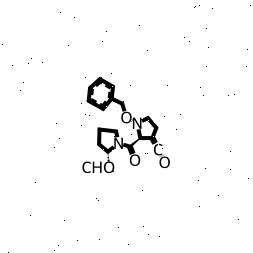 O=C=C1CCN(OCc2ccccc2)[C@@H]1C(=O)N1CCC[C@H]1C=O